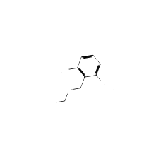 Cc1cccc(N)c1COCS